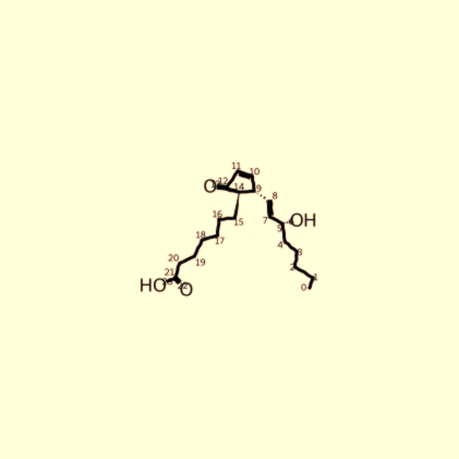 CCCCC[C@@H](O)/C=C/[C@H]1C=CC(=O)[C@@H]1CCCCCCC(=O)O